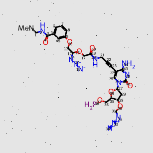 CNCNC(=O)c1cccc(OCC(N=[N+]=[N-])OCC(=O)NCC#Cc2cn(C3CC(OCN=[N+]=[N-])C(COP)O3)c(=O)nc2N)c1